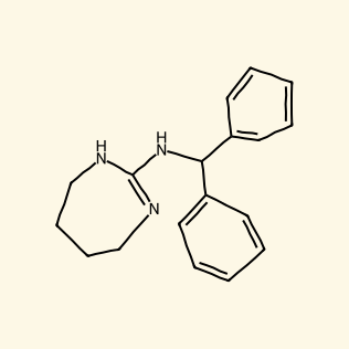 c1ccc(C(NC2=NCCCCN2)c2ccccc2)cc1